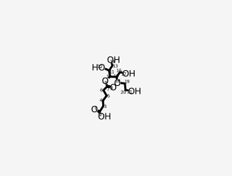 O=C(O)CCCCC(=O)OC(C(O)CO)C(CO)OCCO